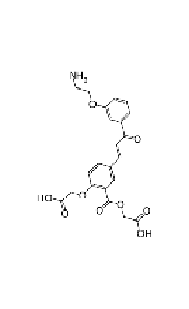 NCCOc1cccc(C(=O)C=Cc2ccc(OCC(=O)O)c(C(=O)OCC(=O)O)c2)c1